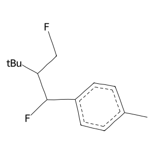 Cc1ccc(C(F)C(CF)C(C)(C)C)cc1